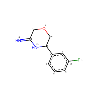 N=C1COCC(c2cccc(F)c2)N1